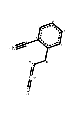 N#Cc1ccccc1CN=C=O